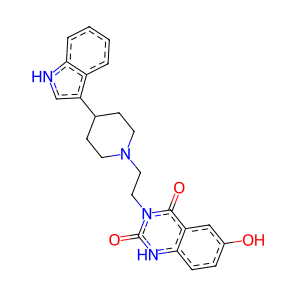 O=c1[nH]c2ccc(O)cc2c(=O)n1CCN1CCC(c2c[nH]c3ccccc23)CC1